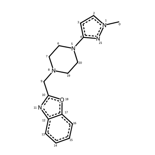 Cn1ccc(N2CCN(Cc3nc4ccccc4o3)CC2)n1